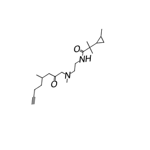 C#CCCC(C)CC(=O)CN(C)CCNC(=O)C(C)(C)C1CC1C